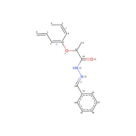 C=C/C=C(\C=C/C)OC(C)C(=O)N/N=C/c1ccccc1